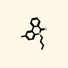 CCCCn1c(=O)c2ccccc2c2cc(C)ccc21